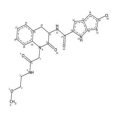 COCCNC(=O)CN1C(=O)C(NC(=O)c2cc3cc(Cl)sc3[nH]2)Cc2ccccc21